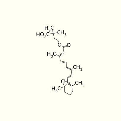 CC(C=CC1=C(C)CCCC1(C)C)=CC=CC(C)=CC(=O)OCCC(C)(C)C(=O)O